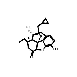 CCC1CC(=O)C2Oc3c(O)ccc4c3[C@@]23CCN(CC2CC2)[C@H](C4)[C@H]13.Cl